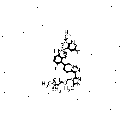 COc1ncc(F)cc1S(=O)(=O)Nc1ccc(F)c(C2CCc3c(-c4nnc(C)n4COCC[Si](C)(C)C)ncn3C2)c1F